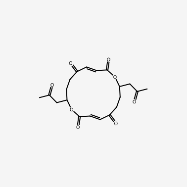 CC(=O)CC1CCC(=O)/C=C/C(=O)OC(CC(C)=O)CCC(=O)/C=C/C(=O)O1